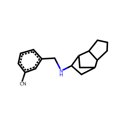 N#Cc1cccc(CNC2CC3CC2C2CCCC32)c1